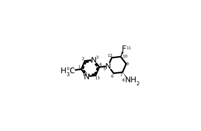 Cc1cnc(N2C[C@@H](N)C[C@H](F)C2)cn1